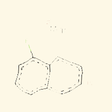 Fc1cccc2ccccc12.[Br-].[Br-].[Mg+2]